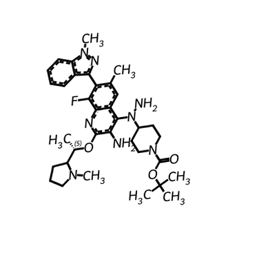 Cc1cc2c(N(N)C3CCN(C(=O)OC(C)(C)C)CC3)c(N)c(O[C@@H](C)C3CCCN3C)nc2c(F)c1-c1nn(C)c2ccccc12